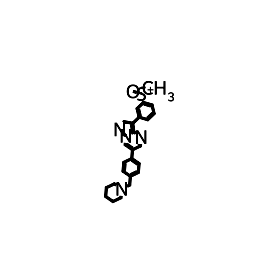 C[S+]([O-])c1cccc(-c2cnn3cc(-c4ccc(CN5CCCCC5)cc4)cnc23)c1